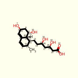 C[C@@H]1C=CC2=C[C@@H](O)C[C@H](O)[C@@H]2[C@H]1CC[C@@H](O)C[C@@H](O)CC(=O)O